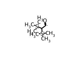 C[Si](C)(C)C([C]=O)[Si](C)(C)C